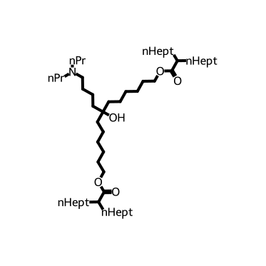 CCCCCCCC(CCCCCCC)C(=O)OCCCCCCC(O)(CCCCCCOC(=O)C(CCCCCCC)CCCCCCC)CCCCN(CCC)CCC